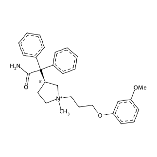 COc1cccc(OCCC[N+]2(C)CC[C@@H](C(C(N)=O)(c3ccccc3)c3ccccc3)C2)c1